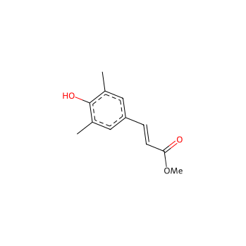 COC(=O)/C=C/c1cc(C)c(O)c(C)c1